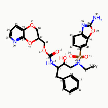 CC(C)CN(CC(O)C(Cc1ccccc1)NC(=O)OCC1COc2cccnc2O1)S(=O)(=O)c1ccc2nc(N)oc2c1